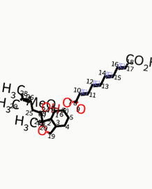 CO[C@H]1C2C(CC[C@H]1OC(=O)/C=C/C=C/C=C/C=C/C(=O)O)CO[C@]2(C)[C@H](O)CC=C(C)C